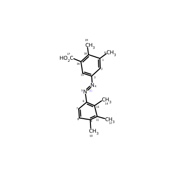 Cc1cc(/N=N/c2ccc(C)c(C)c2C)cc(C(=O)O)c1C